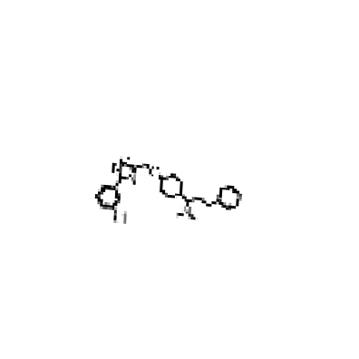 CN(C)C(CCc1ccccc1)C1CCC(=C=Cc2nc(-c3cccc(Cl)c3)no2)CC1